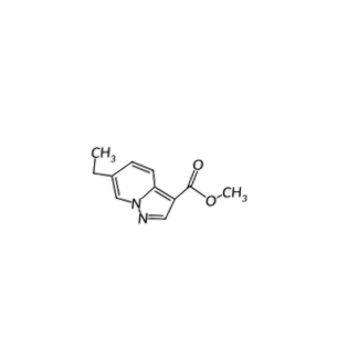 CCc1ccc2c(C(=O)OC)cnn2c1